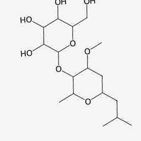 COC1CC(CC(C)C)OC(C)C1OC1OC(CO)C(O)C(O)C1O